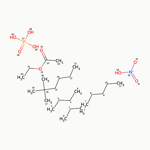 CCC.CCCC.CCCCC.CCCCC(C)(C)C.CCOC(C)=O.O=P(O)(O)O.O=[N+]([O-])O